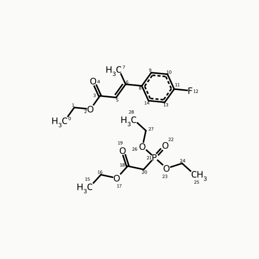 CCOC(=O)C=C(C)c1ccc(F)cc1.CCOC(=O)CP(=O)(OCC)OCC